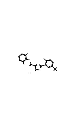 Cc1nc(-c2cc(C(F)(F)F)ccc2Cl)sc1C(=O)Nc1c(F)cccc1F